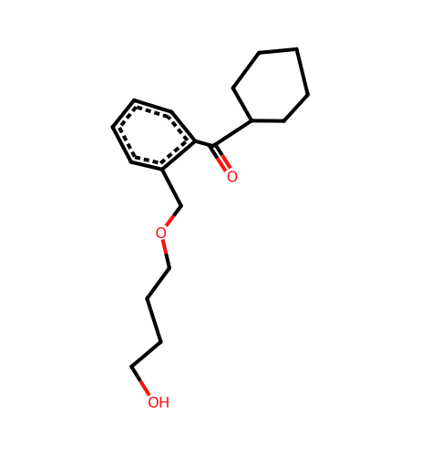 O=C(c1ccccc1COCCCCO)C1CCCCC1